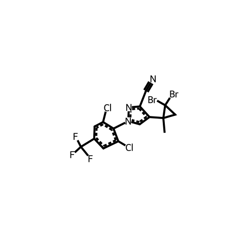 CC1(c2cn(-c3c(Cl)cc(C(F)(F)F)cc3Cl)nc2C#N)CC1(Br)Br